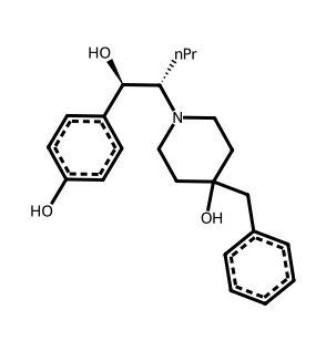 CCC[C@@H]([C@H](O)c1ccc(O)cc1)N1CCC(O)(Cc2ccccc2)CC1